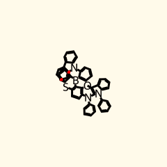 c1ccc(N2c3ccc4c(c3Oc3c2n(-c2ccccc2)c2ccccc32)B(c2ccccc2-n2c3ccccc3c3ccccc32)c2ccccc2S4)cc1